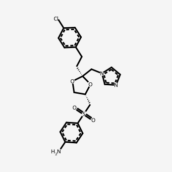 Nc1ccc(S(=O)(=O)C[C@@H]2CO[C@@](CCc3ccc(Cl)cc3)(Cn3ccnc3)O2)cc1